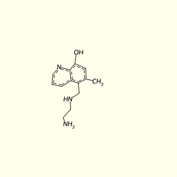 Cc1cc(O)c2ncccc2c1CNCCN